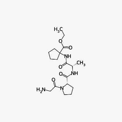 CCOC(=O)C1(NC(=O)[C@H](C)NC(=O)[C@@H]2CCCN2C(=O)CN)CCCC1